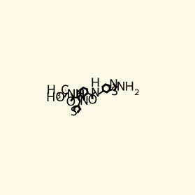 C[C@@H](CO)NC(=O)c1c(-c2ccsc2)nc2c(C(=O)NCc3ccc4nc(N)sc4c3)cccn12